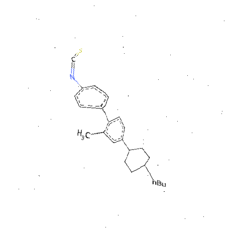 CCCCC1CCC(c2ccc(-c3ccc(N=C=S)cc3)c(C)c2)CC1